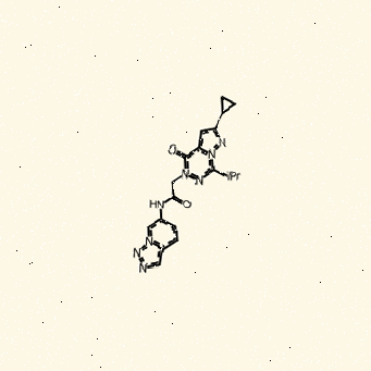 CC(C)c1nn(CC(=O)Nc2ccc3cnnn3c2)c(=O)c2cc(C3CC3)nn12